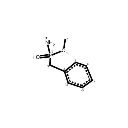 COP(N)(=O)Cc1ccccc1